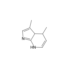 CC1=CN=C2NC=CC(C)C12